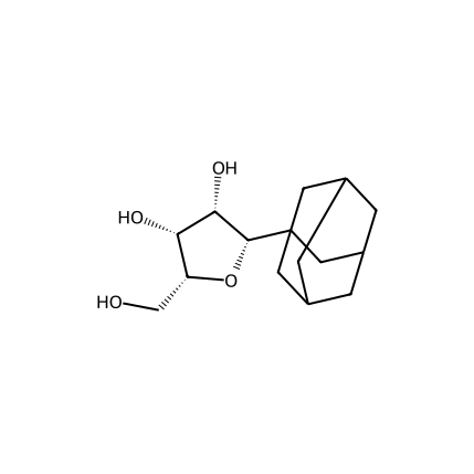 OC[C@H]1O[C@@H](C23CC4CC(CC(C4)C2)C3)[C@@H](O)[C@H]1O